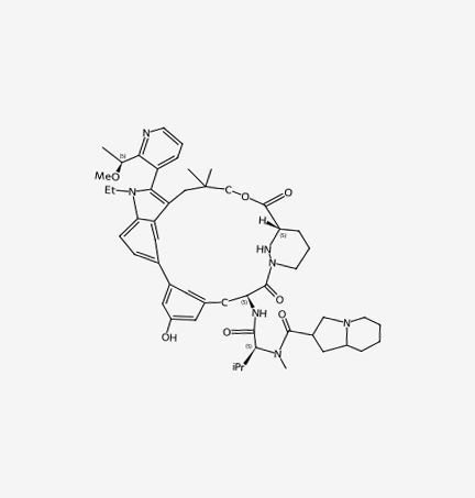 CCn1c(-c2cccnc2[C@H](C)OC)c2c3cc(ccc31)-c1cc(O)cc(c1)C[C@H](NC(=O)[C@H](C(C)C)N(C)C(=O)C1CC3CCCCN3C1)C(=O)N1CCC[C@H](N1)C(=O)OCC(C)(C)C2